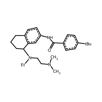 CCN(CCN(C)C)C1CCCc2ccc(NC(=O)c3ccc(C(C)(C)C)cc3)cc21